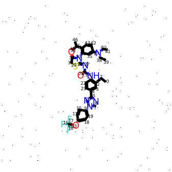 CCc1cc(-c2ncn(-c3ccc(OC(F)(F)F)cc3)n2)ccc1NC(=O)/N=C1\SCC(=O)N1c1cc(N(CC)CC)ccc1C(C)C